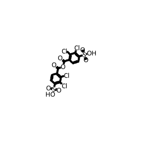 O=C(OC(=O)c1ccc(S(=O)(=O)O)c(Cl)c1Cl)c1ccc(S(=O)(=O)O)c(Cl)c1Cl